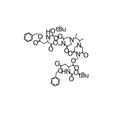 CC(C(C)N1CC(=O)N(COC(=O)C(CC(=O)OCc2ccccc2)NC(=O)OC(C)(C)C)C(=O)C1)N1CC(=O)N(COC(=O)C(CC(=O)OCc2ccccc2)NC(=O)OC(C)(C)C)C(=O)C1